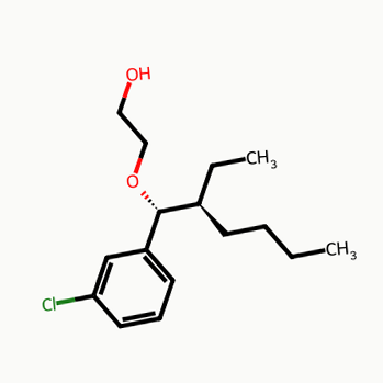 CCCC[C@H](CC)[C@@H](OCCO)c1cccc(Cl)c1